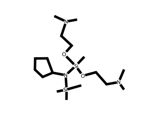 CN(C)CCO[Si](C)(OCCN(C)C)N(C1CCCC1)[Si](C)(C)C